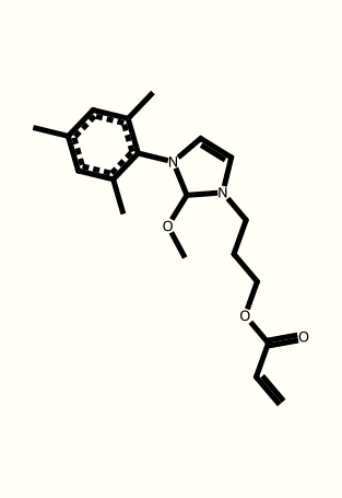 C=CC(=O)OCCCN1C=CN(c2c(C)cc(C)cc2C)C1OC